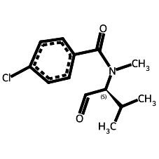 CC(C)[C@@H](C=O)N(C)C(=O)c1ccc(Cl)cc1